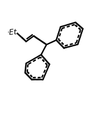 C[CH]C=CC(c1ccccc1)c1ccccc1